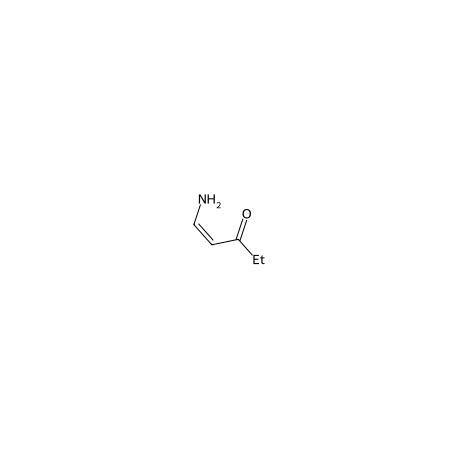 CCC(=O)/C=C\N